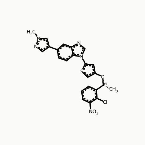 C[C@@H](Oc1csc(-n2cnc3cc(-c4cnn(C)c4)ccc32)c1)c1cccc([N+](=O)[O-])c1Cl